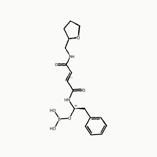 O=C(/C=C/C(=O)N[C@@H](Cc1ccccc1)OB(O)O)NCC1CCCO1